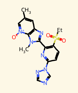 CCS(=O)(=O)c1ccc(-n2cncn2)nc1-c1nc2cc(C)c[n+]([O-])c2n1C